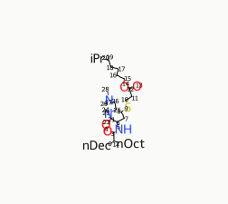 CCCCCCCCCCC(CCCCCCCC)C(=O)NC(CCSCCC(=O)OCCCCCC(C)C)C(=O)N(C)CCN(C)C